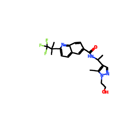 Cc1c(C(C)NC(=O)c2ccc3nc(C(C)(C)C(F)(F)F)ccc3c2)cnn1CCO